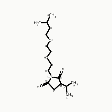 CC(C)CCOCCOCCN1C(=O)CC(C(C)C)C1=O